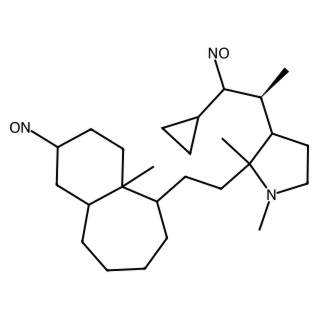 C[C@H](C(N=O)C1CC1)C1CCN(C)C1(C)CCC1CCCCC2CC(N=O)CCC12C